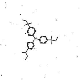 CCC(C)c1ccc(N(c2ccc(C(C)(C)CC)cc2)c2ccc(C(C)(C)CC)cc2)cc1